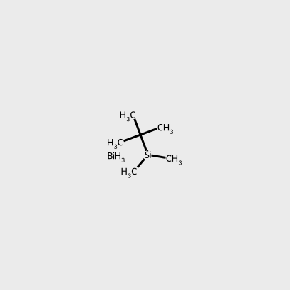 C[Si](C)C(C)(C)C.[BiH3]